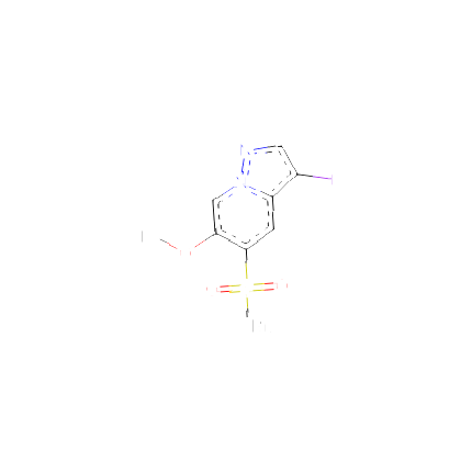 CCOc1cn2ncc(I)c2cc1S(=O)(=O)C(C)(C)C